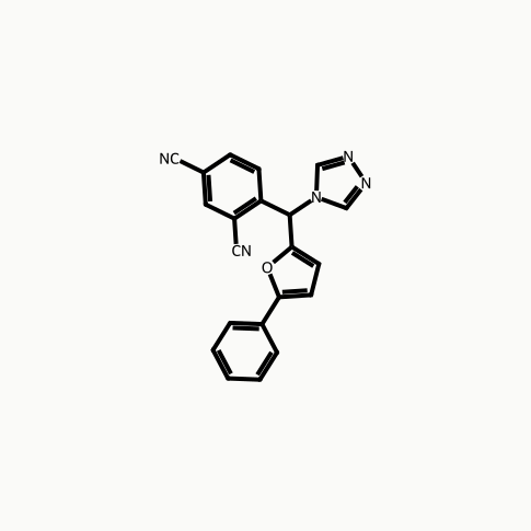 N#Cc1ccc(C(c2ccc(-c3ccccc3)o2)n2cnnc2)c(C#N)c1